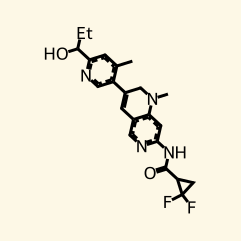 CCC(O)c1cc(C)c(C2=Cc3cnc(NC(=O)C4CC4(F)F)cc3N(C)C2)cn1